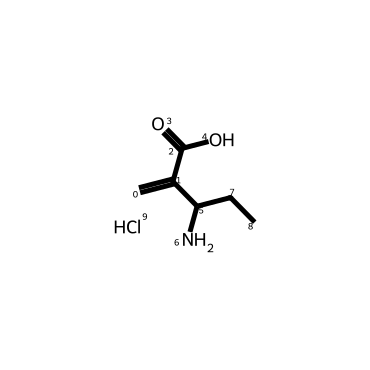 C=C(C(=O)O)C(N)CC.Cl